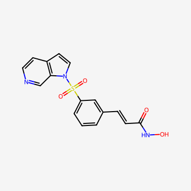 O=C(C=Cc1cccc(S(=O)(=O)n2ccc3ccncc32)c1)NO